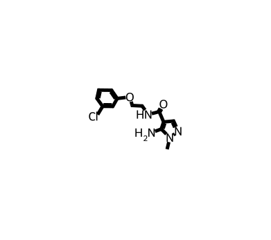 Cn1ncc(C(=O)NCCOc2cccc(Cl)c2)c1N